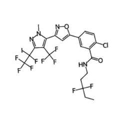 CCC(F)(F)CCNC(=O)c1cc(-c2cc(-c3c(C(F)(F)F)c(C(F)(I)C(F)(F)F)nn3C)no2)ccc1Cl